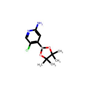 CC1(C)OB(c2cc(N)ncc2Cl)OC1(C)C